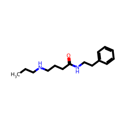 CCCNCCCC(=O)NCCc1ccccc1